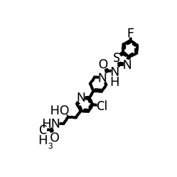 CC(=O)NC[C@H](O)Cc1cnc(C2=CCN(C(=O)Nc3nc4ccc(F)cc4s3)CC2)c(Cl)c1